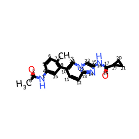 CC(=O)Nc1ccc(C)c(-c2ccc3nc(NC(=O)C4CC4)cn3c2)c1